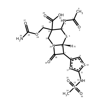 CC(=O)NC1S[C@@H]2C(c3csc(NS(C)(=O)=O)n3)C(=O)N2CC1(COC(N)=O)C(=O)O